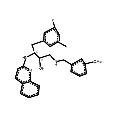 COc1cccc(CNC[C@@H](O)[C@H](Cc2cc(F)cc(F)c2)Nc2ccc3ccccc3n2)c1